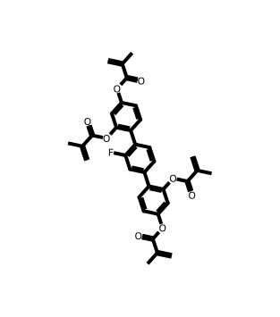 C=C(C)C(=O)Oc1ccc(-c2ccc(-c3ccc(OC(=O)C(=C)C)cc3OC(=O)C(=C)C)c(F)c2)c(OC(=O)C(=C)C)c1